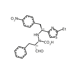 CCc1nc([C@H](Cc2ccc([N+](=O)[O-])cc2)NN(C(=O)O)[C@H](C=O)Cc2ccccc2)cs1